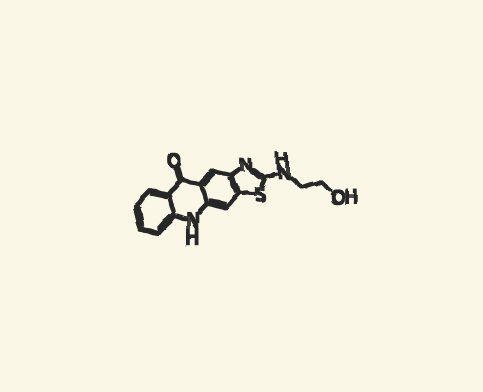 O=c1c2ccccc2[nH]c2cc3sc(NCCO)nc3cc12